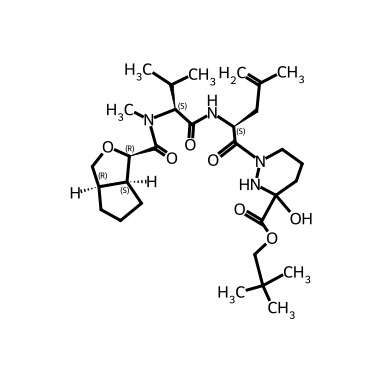 C=C(C)C[C@H](NC(=O)[C@H](C(C)C)N(C)C(=O)[C@@H]1OC[C@@H]2CCC[C@@H]21)C(=O)N1CCCC(O)(C(=O)OCC(C)(C)C)N1